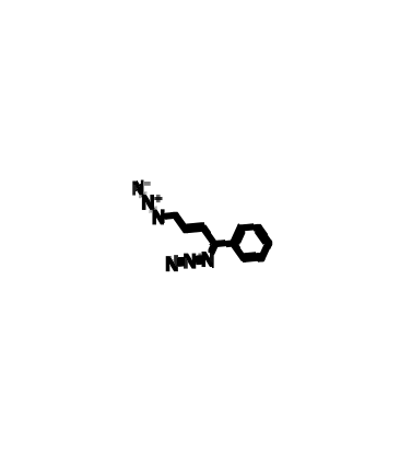 [N-]=[N+]=NC/C=C/C(N=[N+]=[N-])c1ccccc1